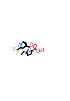 CC[C@@H]1CC[C@H](C(=O)O)N1C(=O)c1ccnc(C(F)F)c1